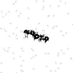 O=c1n(Cc2c(F)cccc2F)cnn1-c1ccc(Oc2cc(N3CC4(CCCN4)C3)ncc2Cl)c(F)c1